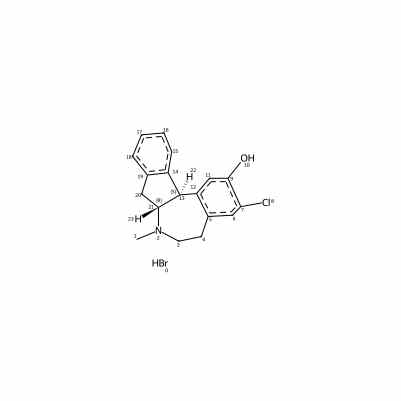 Br.CN1CCc2cc(Cl)c(O)cc2[C@@H]2c3ccccc3C[C@H]21